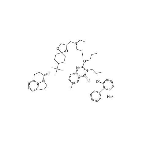 CCCN(CC)CC1COC2(CCC(C(C)(C)C)CC2)O1.CCCOc1nc2ccc(I)cc2c(=O)n1CCC.O=C1CCc2cccc3c2N1CC3.[Na+].[O-]c1ccccc1-c1ccccc1